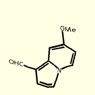 COc1ccn2ccc(C=O)c2c1